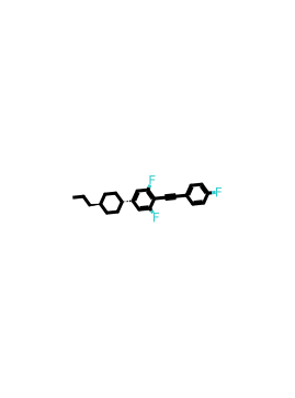 CCC[C@H]1CC[C@H](c2cc(F)c(C#Cc3ccc(F)cc3)c(F)c2)CC1